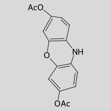 CC(=O)Oc1ccc2c(c1)Oc1cc(OC(C)=O)ccc1N2